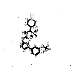 CS(=O)(=O)C(Nc1nn2c(-c3cccc(OC(F)(F)F)c3)cnc2s1)C1CCNCC1